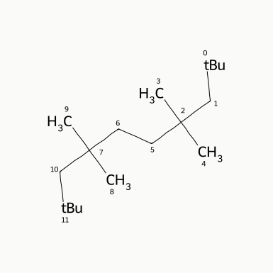 CC(C)(C)CC(C)(C)CCC(C)(C)CC(C)(C)C